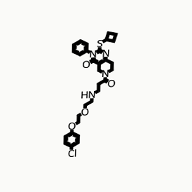 O=C(CCNCCOCCOc1ccc(Cl)cc1)N1CCc2nc(SC3CCC3)n(-c3ccccc3)c(=O)c2C1